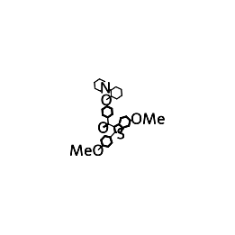 COc1ccc(-c2sc3cc(OC)ccc3c2C(=O)c2ccc(OC3CCCCC3N3CCCCC3)cc2)cc1